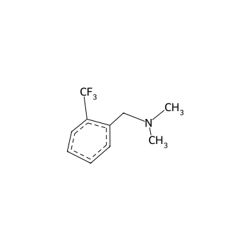 CN(C)Cc1ccccc1C(F)(F)F